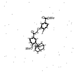 COC(=O)c1ccc(I)c(OCC(=O)c2ccc(OC)c(C34CC5CC(CC(C5)C3)C4)c2)c1